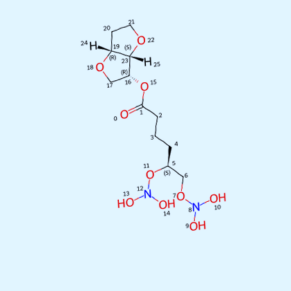 O=C(CCC[C@@H](CON(O)O)ON(O)O)O[C@@H]1CO[C@@H]2CCO[C@@H]21